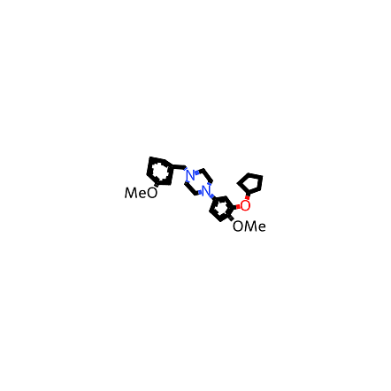 COc1cccc(CN2CCN(c3ccc(OC)c(OC4CCCC4)c3)CC2)c1